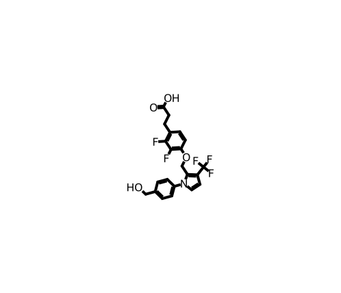 O=C(O)CCc1ccc(OCc2c(C(F)(F)F)ccn2-c2ccc(CO)cc2)c(F)c1F